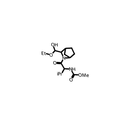 CCOC(O)C1C2CCC(C2)N1C(=O)C(NC(=O)OC)C(C)C